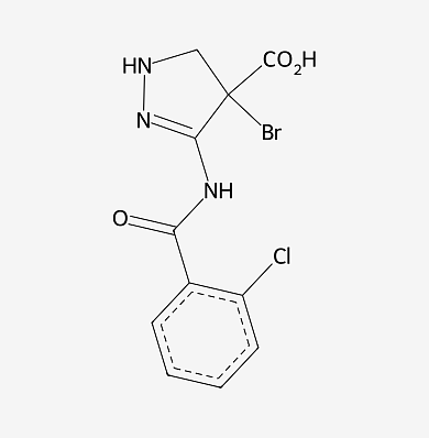 O=C(NC1=NNCC1(Br)C(=O)O)c1ccccc1Cl